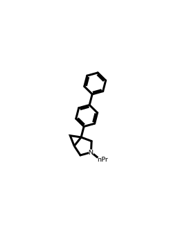 CCCN1CC2CC2(c2ccc(-c3ccccc3)cc2)C1